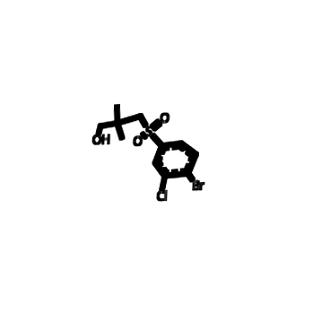 CC(C)(CO)CS(=O)(=O)c1ccc(Br)c(Cl)c1